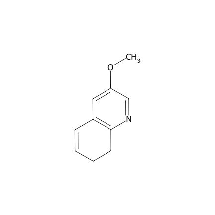 COc1cnc2c(c1)C=CCC2